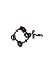 NCCNC(=O)c1cc2nc(c1)-c1cccc(n1)C[N@]1CC3=CCCC(=N3)c3cccc(n3)C[N@@](Cc3cccc(n3)-c3cccc(n3)C1)C2